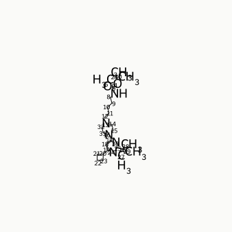 CC(C)(C)OC(=O)NCCCCCN1CCN(c2cc(C3CCC3)nc(C(C)(C)C)n2)CC1